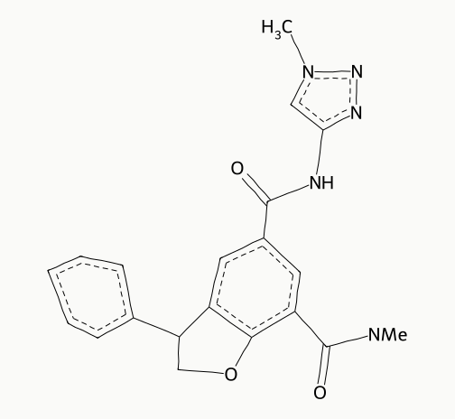 CNC(=O)c1cc(C(=O)Nc2cn(C)nn2)cc2c1OCC2c1ccccc1